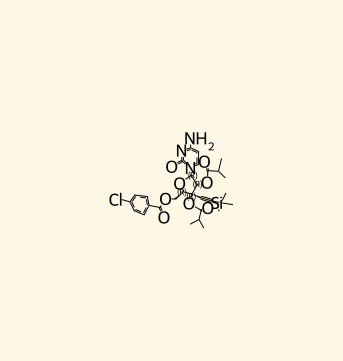 CC(C)C(=O)O[C@H]1[C@H](n2ccc(N)nc2=O)O[C@H](COC(=O)c2ccc(Cl)cc2)[C@@]1(C#C[Si](C)(C)C)OC(=O)C(C)C